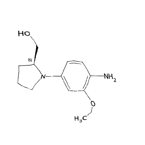 COc1cc(N2CCC[C@H]2CO)ccc1N